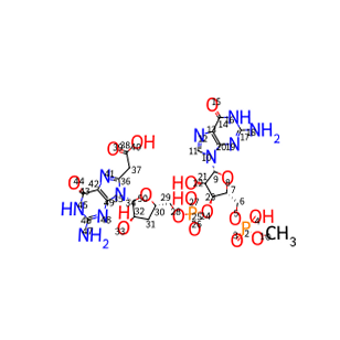 COP(=O)(O)OC[C@H]1O[C@@H](n2cnc3c(=O)[nH]c(N)nc32)[C@H](O)[C@@H]1OP(=O)(O)OC[C@@H]1C[C@@H](O)[C@H](n2c(CC(=O)O)nc3c(=O)[nH]c(N)nc32)O1